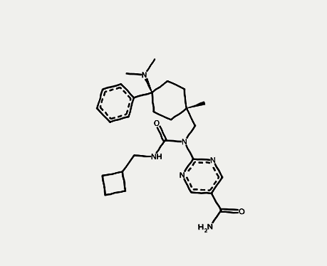 CN(C)[C@]1(c2ccccc2)CC[C@@](C)(CN(C(=O)NCC2CCC2)c2ncc(C(N)=O)cn2)CC1